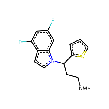 CNCCC(c1cccs1)n1ccc2c(F)cc(F)cc21